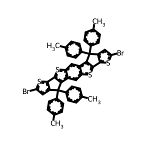 Cc1ccc(C2(c3ccc(C)cc3)c3cc(Br)sc3-c3sc4cc5c6c(sc5cc4c32)-c2sc(Br)cc2C6(c2ccc(C)cc2)c2ccc(C)cc2)cc1